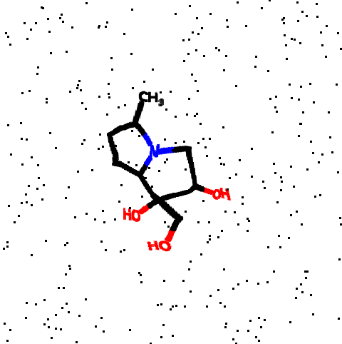 CC1CCC2N1CC(O)C2(O)CO